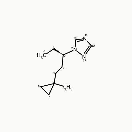 CC[C@H](CCC1(C)CC1)n1cncn1